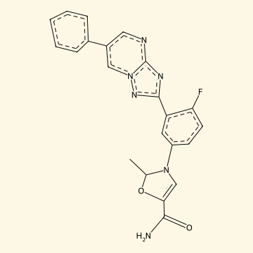 CC1OC(C(N)=O)=CN1c1ccc(F)c(-c2nc3ncc(-c4ccccc4)cn3n2)c1